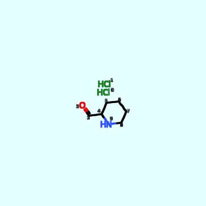 Cl.Cl.O=CC1CCCCN1